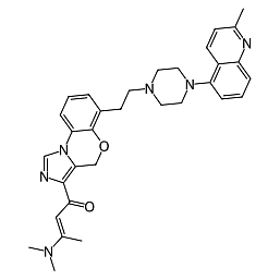 C/C(=C\C(=O)c1ncn2c1COc1c(CCN3CCN(c4cccc5nc(C)ccc45)CC3)cccc1-2)N(C)C